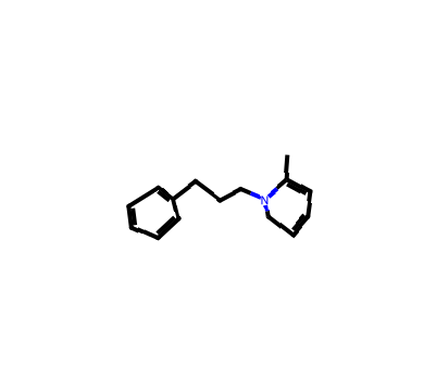 CC1=CC=CCN1CCCc1ccccc1